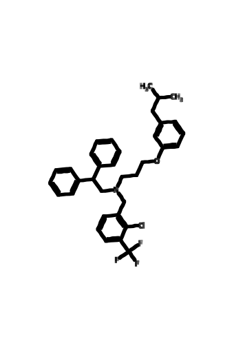 CC(C)Cc1cccc(OCCCN(Cc2cccc(C(F)(F)F)c2Cl)CC(c2ccccc2)c2ccccc2)c1